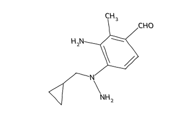 Cc1c(C=O)ccc(N(N)CC2CC2)c1N